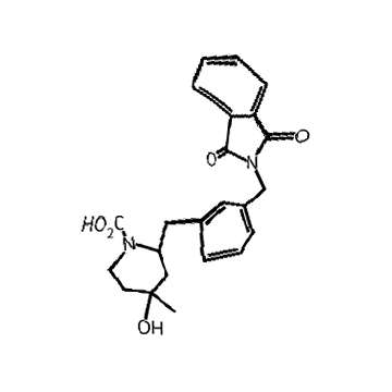 CC1(O)CCN(C(=O)O)C(Cc2cccc(CN3C(=O)c4ccccc4C3=O)c2)C1